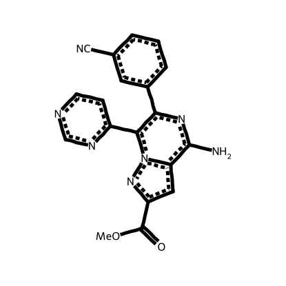 COC(=O)c1cc2c(N)nc(-c3cccc(C#N)c3)c(-c3ccncn3)n2n1